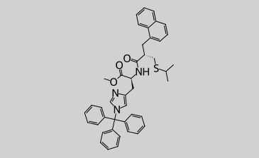 COC(=O)[C@H](Cc1cn(C(c2ccccc2)(c2ccccc2)c2ccccc2)cn1)NC(=O)[C@@H](CSC(C)C)Cc1cccc2ccccc12